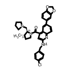 C[C@H]1CCN(C(=O)c2cc(NCc3ccc(Cl)cc3)nc3ccc(-c4ccc5c(c4)OCO5)cc23)[C@@H]1CN1CCCC1